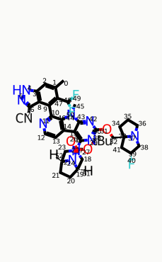 Cc1cc2[nH]nc(C#N)c2c(-c2nccc3c4c(N5C[C@H]6CC[C@@H](C5)N6C(=O)OC(C)(C)C)nc(OC[C@@]56CCCN5C[C@H](F)C6)nc4n(C)c23)c1C(F)F